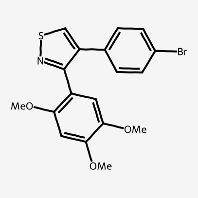 COc1cc(OC)c(-c2nscc2-c2ccc(Br)cc2)cc1OC